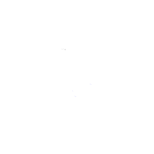 COc1ccc(CSc2nn(C(=O)O)c3cccnc23)cc1